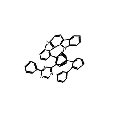 c1ccc(-c2ncnc(-c3cc(-c4ccccc4-c4ccccc4)ccc3-c3cccc4oc5ccc6c7ccccc7n(-c7ccccc7)c6c5c34)n2)cc1